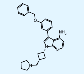 Nc1ccnc2c1c(-c1cccc(OCc3ccccc3)c1)cn2[C@H]1C[C@H](CN2CCCC2)C1